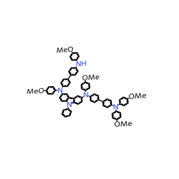 COc1ccc(Nc2ccc(-c3ccc(N(c4ccc(OC)cc4)c4ccc5c(c4)c4cc(N(c6ccc(OC)cc6)c6ccc(-c7ccc(N(c8ccc(OC)cc8)c8ccc(OC)cc8)cc7)cc6)ccc4n5-c4ccccc4)cc3)cc2)cc1